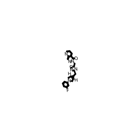 O=c1c2cccnc2cnn1Cc1nc(CC2[C@H]3CN(c4cccc(F)c4)C[C@@H]23)no1